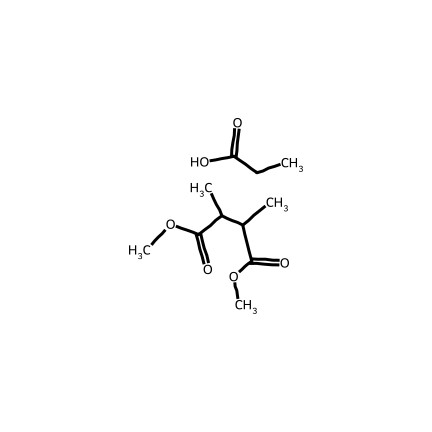 CCC(=O)O.COC(=O)C(C)C(C)C(=O)OC